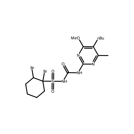 CCCCc1c(C)nc(NC(=O)NS(=O)(=O)C2(Br)CCCCC2Br)nc1OC